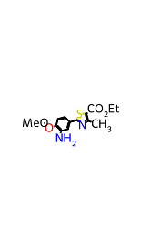 CCOC(=O)c1sc(-c2ccc(OOC)c(N)c2)nc1C